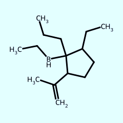 C=C(C)C1CCC(CC)C1(BCC)CCC